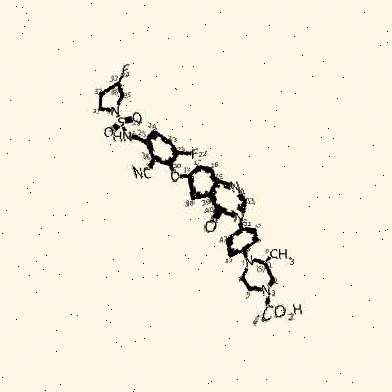 C[C@H]1CN(C(=O)O)CCN1c1ccc(-n2cnc3ccc(Oc4c(F)ccc(NS(=O)(=O)N5CC[C@@H](F)C5)c4C#N)cc3c2=O)cc1